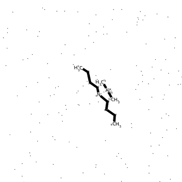 CCCC[N-]CCCC.[CH3][Al+][CH3]